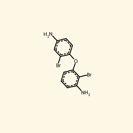 Nc1ccc(Oc2cccc(N)c2Br)c(Br)c1